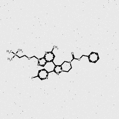 Cc1cc(-c2c(-c3ccc(F)cn3)nn3c2CN(C(=O)OCc2ccccc2)CC3)c2cnn(COCC[Si](C)(C)C)c2n1